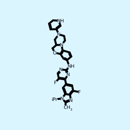 Cc1nc2c(F)cc(-c3nc(Nc4ccc5c(c4)OCC4CN(C6=CNCC=C6)CCN54)ncc3F)cc2n1C(C)C